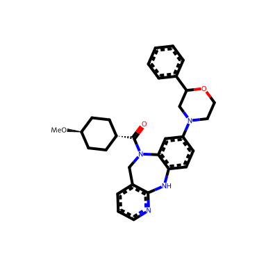 CO[C@H]1CC[C@H](C(=O)N2Cc3cccnc3Nc3ccc(N4CCOC(c5ccccc5)C4)cc32)CC1